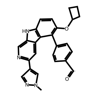 Cn1cc(-c2cc3c(cn2)[nH]c2ccc(OC4CCC4)c(-c4ccc([C]=O)cc4)c23)cn1